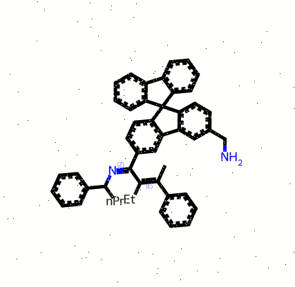 CCCC(/N=C(\C(CC)=C(/C)c1ccccc1)c1ccc2c(c1)-c1cc(CN)ccc1C21c2ccccc2-c2ccccc21)c1ccccc1